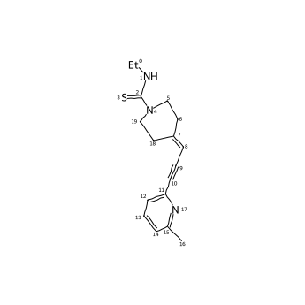 CCNC(=S)N1CCC(=CC#Cc2cccc(C)n2)CC1